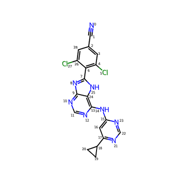 N#Cc1cc(Cl)c(-c2nc3ncnc(Nc4cc(C5CC5)ncn4)c3[nH]2)c(Cl)c1